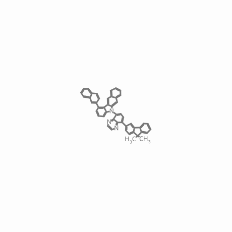 CC1(C)c2ccccc2-c2cc(-c3ccc(-n4c5cc6ccccc6cc5c5c(-c6ccc7ccccc7c6)cccc54)c4nccnc34)ccc21